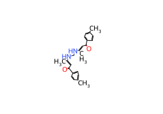 C/C(=C\C(=O)c1ccc(C)cc1)NCN/C(C)=C/C(=O)c1ccc(C)cc1